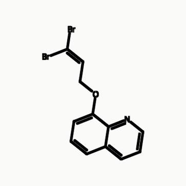 BrC(Br)=CCOc1cccc2cccnc12